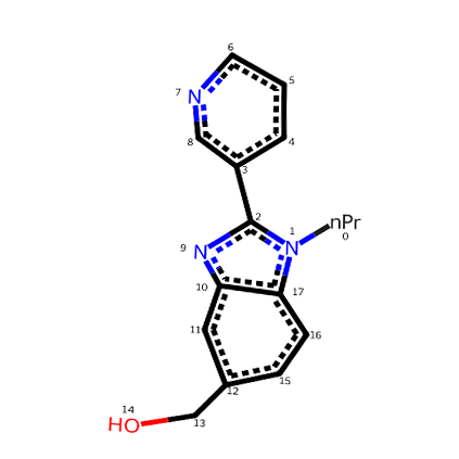 CCCn1c(-c2cccnc2)nc2cc(CO)ccc21